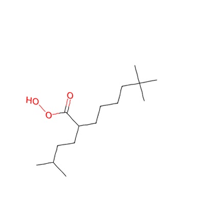 CC(C)CCC(CCCCC(C)(C)C)C(=O)OO